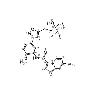 Cc1ccc(-c2noc(CC[C@](C)(O)C(F)(F)F)n2)cc1NC(=O)c1cnc2cc(F)ccn12